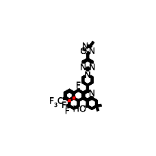 Cc1noc(-c2cnc(N3CCC(c4nc5c(c(C6CCC(F)(F)CC6)c4C(F)c4ccc(C(F)(F)F)cc4)C(O)CC(C)(C)C5)CC3)nc2)n1